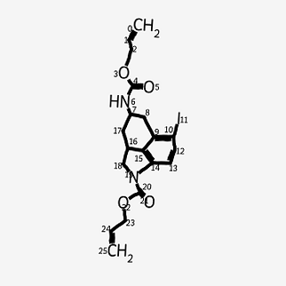 C=CCOC(=O)NC1Cc2c(I)ccc3c2C(C1)CN3C(=O)OCC=C